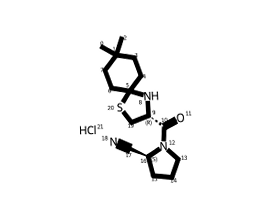 CC1(C)CCC2(CC1)N[C@H](C(=O)N1CCC[C@H]1C#N)CS2.Cl